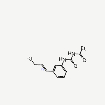 CCC(=O)NC(=O)Nc1cccc(/C=C/C[O])c1